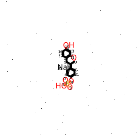 O=S(=O)(O)Oc1ccc(C2COc3cc(O)ccc3C2)cc1.[NaH]